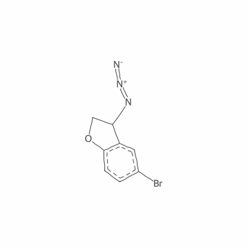 [N-]=[N+]=NC1COc2ccc(Br)cc21